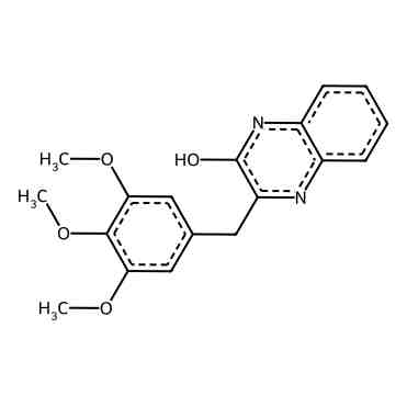 COc1cc(Cc2nc3ccccc3nc2O)cc(OC)c1OC